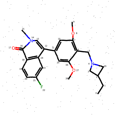 CCC1CN(Cc2c(OC)cc(-c3cn(C)c(=O)c4ccc(F)cc34)cc2OC)C1